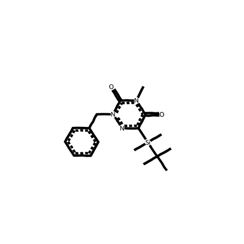 Cn1c(=O)c([Si](C)(C)C(C)(C)C)nn(Cc2ccccc2)c1=O